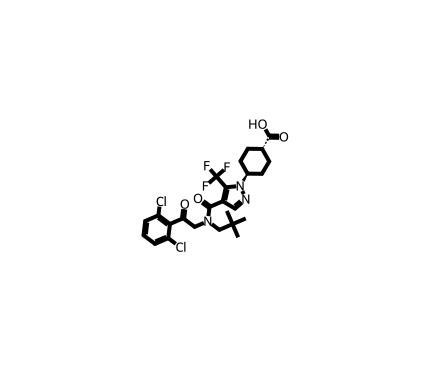 CC(C)(C)CN(CC(=O)c1c(Cl)cccc1Cl)C(=O)c1cnn([C@H]2CC[C@H](C(=O)O)CC2)c1C(F)(F)F